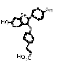 O=C(O)/C=C/c1ccc(Cc2c(-c3ccc(O)cc3)[se]c3cc(O)ccc23)cc1